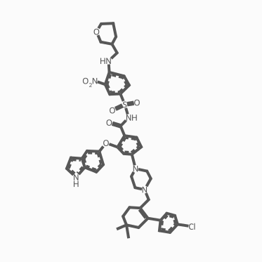 CC1(C)CCC(CN2CCN(c3ccc(C(=O)NS(=O)(=O)c4ccc(NCC5CCCOC5)c([N+](=O)[O-])c4)c(Oc4ccc5[nH]ccc5c4)c3)CC2)=C(c2ccc(Cl)cc2)C1